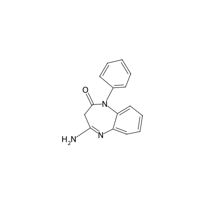 NC1=Nc2ccccc2N(c2ccccc2)C(=O)C1